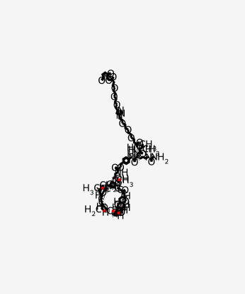 C=C1C[C@@H]2CC[C@@]34C[C@H]5O[C@H]6[C@@H](O3)[C@H]3O[C@H](CC[C@@H]3O[C@H]6[C@H]5O4)CC(=O)CC[C@@H]3[C@@H](OC)[C@@H](C[C@H](O)CNC(=O)OCc4ccc(NC(=O)[C@H](CCCNC(N)=O)NC(=O)[C@@H](NC(=O)CCOCCOCCOCCn5cc(COCCOCCOCCC(=O)ON6C(=O)CCC6=O)nn5)C(C)C)cc4)O[C@H]3C[C@H]3O[C@@H](CC[C@@H]1O2)C[C@@H](C)C3=C